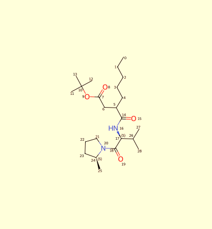 CCCCCC(CC(=O)OC(C)(C)C)C(=O)N[C@H](C(=O)N1CCC[C@@H]1C)C(C)C